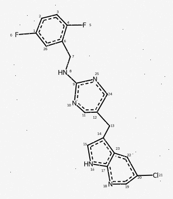 Fc1ccc(F)c(CNc2ncc(Cc3c[nH]c4ncc(Cl)cc34)cn2)c1